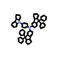 c1ccc(C2(c3ccccc3)c3ccccc3-c3cc(N(c4ccc(-n5c6ccccc6c6ccccc65)cc4)c4ccc5c(c4)C(c4ccccc4)(c4ccccc4)c4ccccc4-5)ccc32)cc1